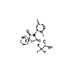 Cc1ccc(C)c(N2C(=O)OC3(CN4CCC3CC4)C2=O)c1.O=C(O)C(F)(F)F